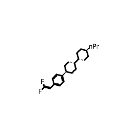 CCC[C@H]1CC[C@H]([C@H]2CC[C@H](c3ccc(C=C(F)F)cc3)CC2)CC1